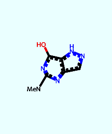 CNc1nc(O)c2[nH]ncc2n1